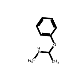 CN[C](C)Oc1ccccc1